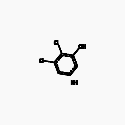 Oc1cccc(Cl)c1Cl.[KH]